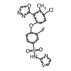 Cc1c(Cl)ccc(Oc2ccc(S(=O)(=O)Nc3nccs3)cc2F)c1-c1nnco1